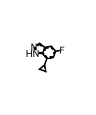 Fc1cc(C2CC2)c2[nH]ncc2c1